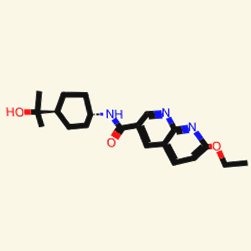 CCOc1ccc2cc(C(=O)N[C@H]3CC[C@H](C(C)(C)O)CC3)cnc2n1